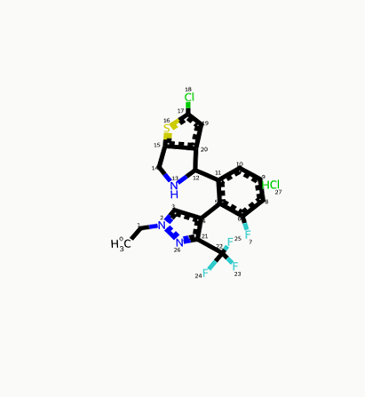 CCn1cc(-c2c(F)cccc2C2NCc3sc(Cl)cc32)c(C(F)(F)F)n1.Cl